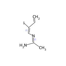 C=C/C(I)=C\N=C(\C)N